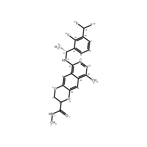 CNC(=O)C1COc2cc3c(N[C@H](C)c4cccc(C(F)F)c4F)nnc(C)c3cc2O1